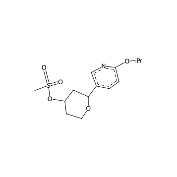 CC(C)Oc1ccc(C2CC(OS(C)(=O)=O)CCO2)cn1